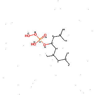 CC(C)CC(C)CC(CC(C)C)OP(=O)(O)OO